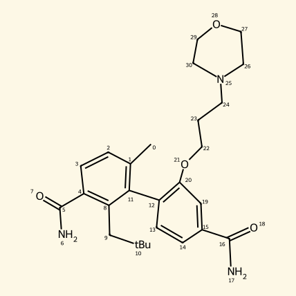 Cc1ccc(C(N)=O)c(CC(C)(C)C)c1-c1ccc(C(N)=O)cc1OCCCN1CCOCC1